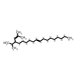 [CH2]C(C)C(C=C(C)C)CCCCCC=CCCCCCCCC